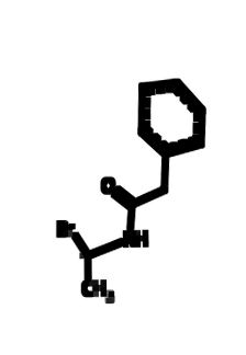 C[C](Br)NC(=O)Cc1ccccc1